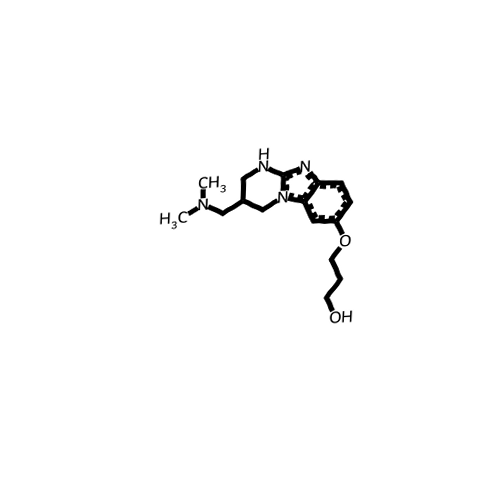 CN(C)CC1CNc2nc3ccc(OCCCO)cc3n2C1